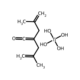 C=C(C)CC(=C=O)CC(=C)C.[OH][Ti]([OH])([OH])[OH]